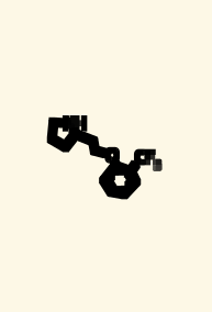 FC(F)(F)c1ccccc1OCCC1CCCN1